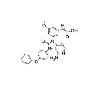 COc1cc(NC(=O)O)cc(-n2c(=O)n(-c3ccc(Oc4ccccc4)cc3)c3c(N)ncnc32)c1